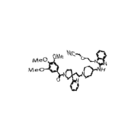 COc1cc(C(=O)N2CCC(CCN3CCC(Nc4nc5ccccc5n4CCOCC#N)CC3)(c3ccccn3)C2)cc(OC)c1OC